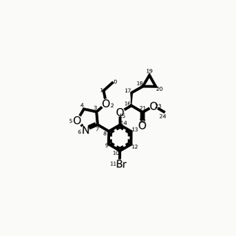 CCOC1CON=C1c1cc(Br)ccc1O[C@@H](CC1CC1)C(=O)OC